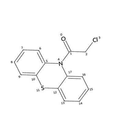 O=C(CCl)N1c2ccccc2Sc2ccccc21